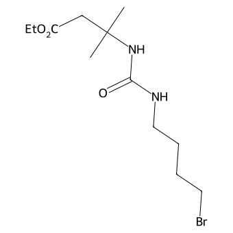 CCOC(=O)CC(C)(C)NC(=O)NCCCCBr